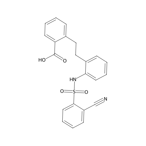 N#Cc1ccccc1S(=O)(=O)Nc1ccccc1CCc1ccccc1C(=O)O